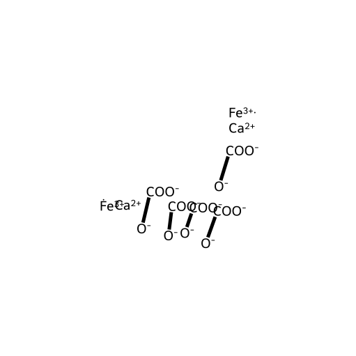 O=C([O-])[O-].O=C([O-])[O-].O=C([O-])[O-].O=C([O-])[O-].O=C([O-])[O-].[Ca+2].[Ca+2].[Fe+3].[Fe+3]